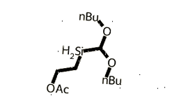 CCCCOC(OCCCC)[SiH2]CCOC(C)=O